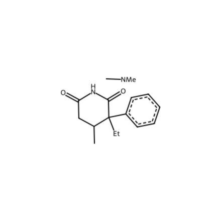 CCC1(c2ccccc2)C(=O)NC(=O)CC1C.CNC